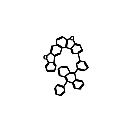 c1ccc(-c2c3ccccc3c(-c3cccc(-c4ccc5oc6ccc7cc8oc9ccccc9c8cc7c6c5c4)c3)c3ccccc23)cc1